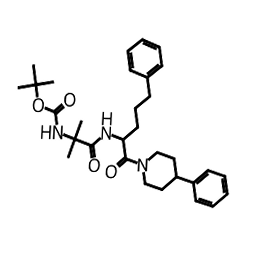 CC(C)(C)OC(=O)NC(C)(C)C(=O)NC(CCCc1ccccc1)C(=O)N1CCC(c2ccccc2)CC1